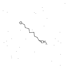 C=CCCCCCCC[O]